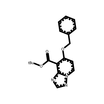 CC(C)(C)OC(=O)c1c(OCc2ccccc2)ccn2ncnc12